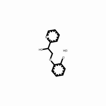 Cl.OC(COc1ccccc1Cl)c1ccccn1